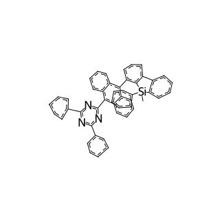 C[Si]1(c2ccccc2)c2ccccc2-c2cccc(-c3c4ccccc4c(-c4nc(-c5ccccc5)nc(-c5ccccc5)n4)c4ccccc34)c21